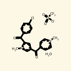 Cn1cc(C(=O)c2cc[n+](C)cc2)cc1C(=O)c1ccc(Cl)cc1.O.O=S(=O)([O-])C(F)(F)F